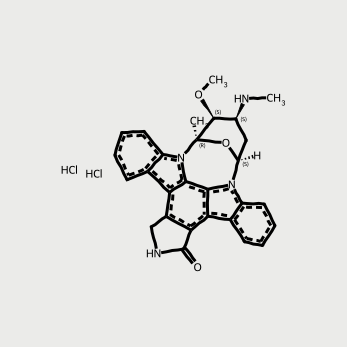 CN[C@H]1C[C@@H]2O[C@](C)([C@H]1OC)n1c3ccccc3c3c4c(c5c6ccccc6n2c5c31)C(=O)NC4.Cl.Cl